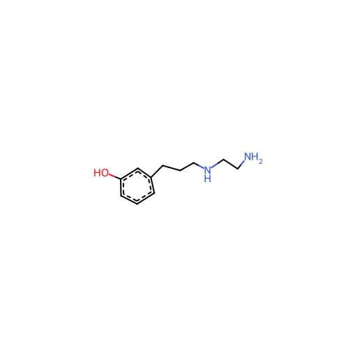 NCCNCCCc1cccc(O)c1